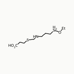 CCO[SiH2]CCCNCSCCC(=O)O